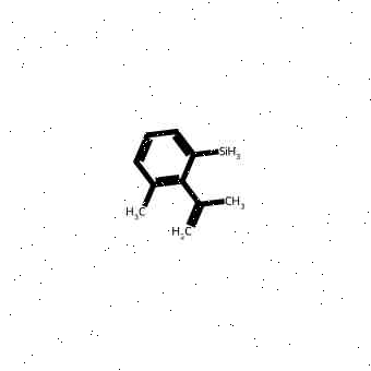 C=C(C)c1c(C)cccc1[SiH3]